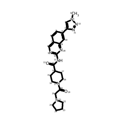 Cn1cc(-c2ccc3cnc(NC(=O)C4CCN(C(=O)CN5CCCC5)CC4)nc3c2)nn1